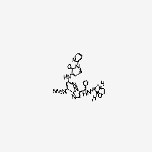 CNc1cc(Nc2cccn(-c3ccccn3)c2=O)nn2c(C(=O)N[C@@H]3C[C@H]4CCO[C@H]43)cnc12